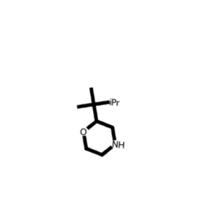 CC(C)C(C)(C)C1CNCCO1